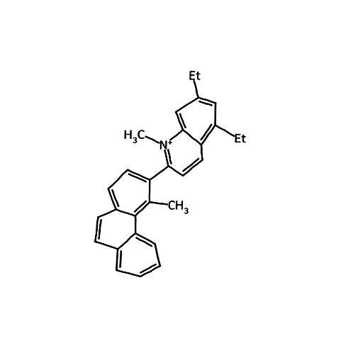 CCc1cc(CC)c2ccc(-c3ccc4ccc5ccccc5c4c3C)[n+](C)c2c1